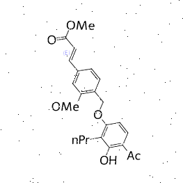 CCCc1c(OCc2ccc(/C=C/C(=O)OC)cc2OC)ccc(C(C)=O)c1O